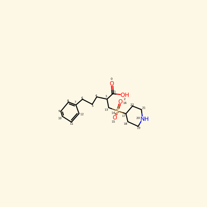 O=C(O)C(CCCc1ccccc1)CS(=O)(=O)C1CCNCC1